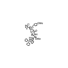 CON=C(C(=O)NC1C(=O)N2CC(C=Cc3scnc3Cl)(C(=O)OCc3ccc(OC)cc3)CS[C@H]12)c1csc(NC(c2ccccc2)(c2ccccc2)c2ccccc2)n1